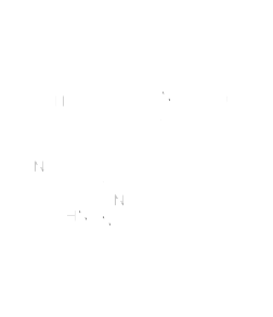 Cc1cc(-c2ccc(Cl)cn2)cc(-c2nn[nH]c2C#N)c1